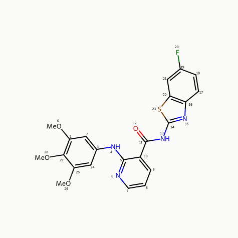 COc1cc(Nc2ncccc2C(=O)Nc2nc3ccc(F)cc3s2)cc(OC)c1OC